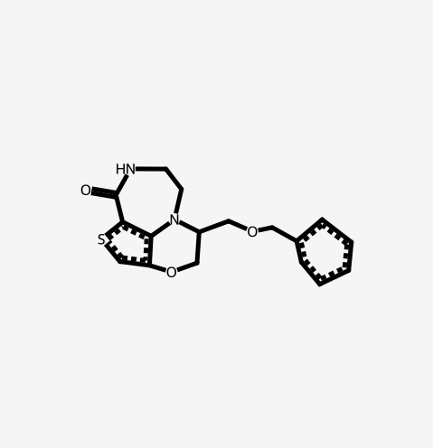 O=C1NCCN2c3c(csc31)OCC2COCc1ccccc1